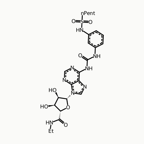 CCCCCS(=O)(=O)Nc1cccc(NC(=O)Nc2ncnc3c2ncn3[C@@H]2O[C@H](C(=O)NCC)[C@@H](O)[C@H]2O)c1